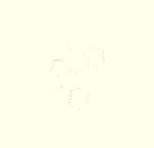 CCOC(=O)Cc1ccc(C(=O)c2ccc(Cl)cc2)n1Cc1ccccc1